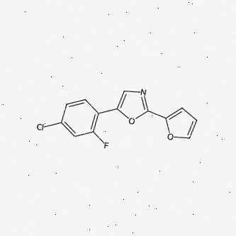 Fc1cc(Cl)ccc1-c1cnc(-c2ccco2)o1